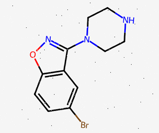 Brc1ccc2onc(N3CCNCC3)c2c1